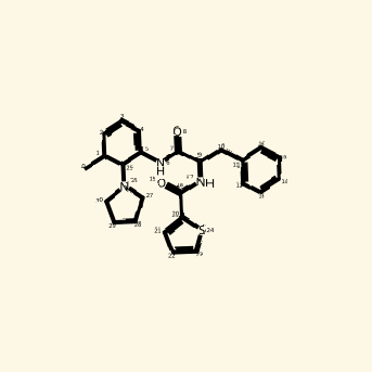 CC1C=CC=C(NC(=O)C(Cc2ccccc2)NC(=O)c2cccs2)C1N1CCCC1